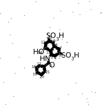 O=C(Nc1cc(S(=O)(=O)O)cc2cc(S(=O)(=O)O)[c]c(O)c12)c1ccccc1